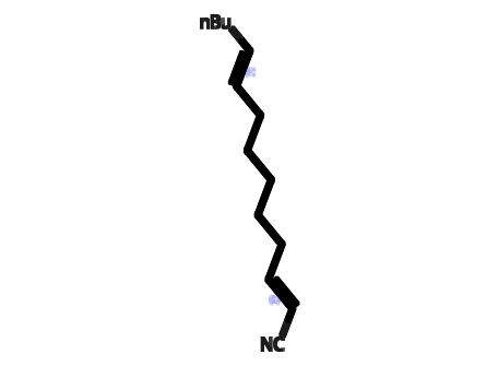 CCCC/C=C/CCCCC/C=C/C#N